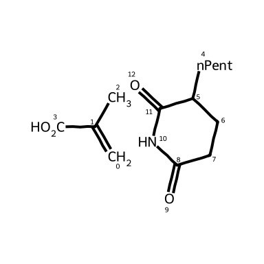 C=C(C)C(=O)O.CCCCCC1CCC(=O)NC1=O